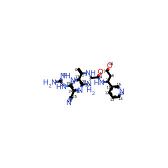 C=C(NCC(=O)NC(CC=O)c1cccnc1)c1nc(NC(=N)N)c(C#N)nc1N